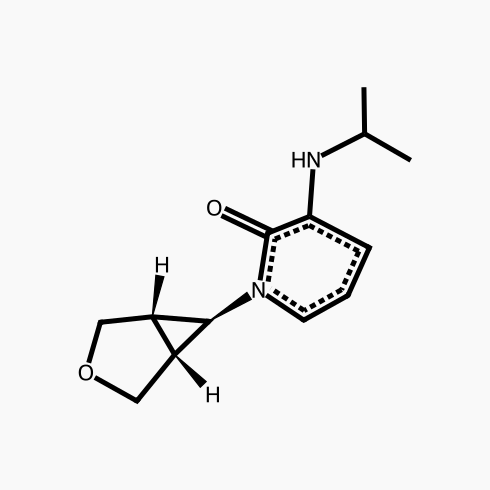 CC(C)Nc1cccn([C@H]2[C@@H]3COC[C@@H]32)c1=O